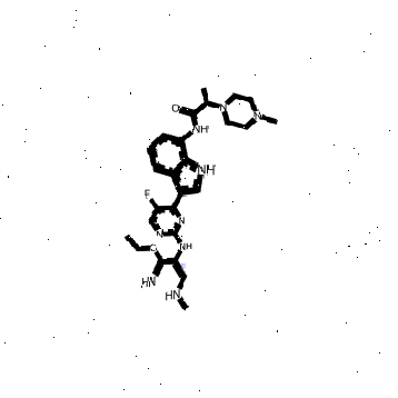 CCOC(=N)/C(=C\NC)Nc1ncc(F)c(-c2c[nH]c3c(NC(=O)C(C)N4CCN(C)CC4)cccc23)n1